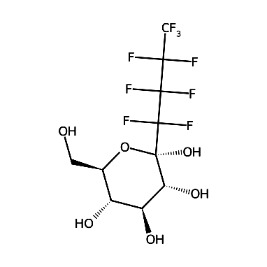 OC[C@H]1O[C@@](O)(C(F)(F)C(F)(F)C(F)(F)C(F)(F)F)[C@H](O)[C@@H](O)[C@@H]1O